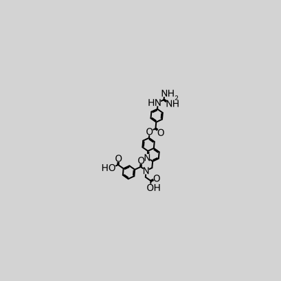 N=C(N)Nc1ccc(C(=O)Oc2ccc3nc(CN(CC(=O)O)C(=O)c4cccc(C(=O)O)c4)ccc3c2)cc1